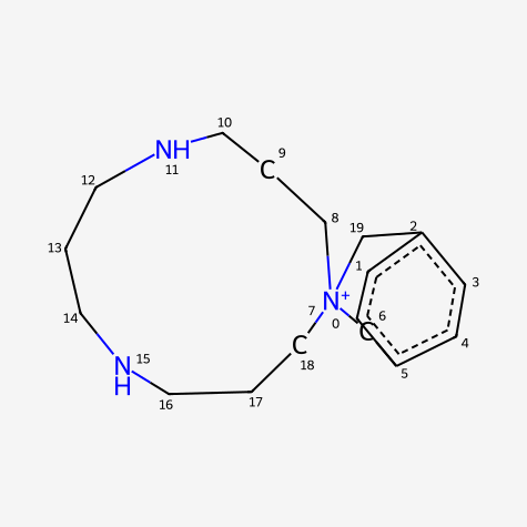 c1cc2ccc1C[N+]1(CCCNCCCNCCC1)C2